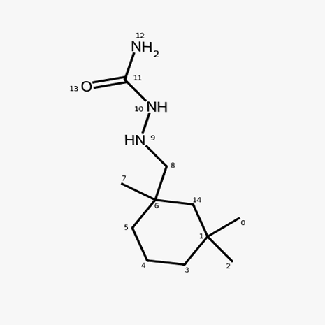 CC1(C)CCCC(C)(CNNC(N)=O)C1